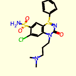 CN(C)CCCN1C(=O)N=S(c2ccccc2)c2cc(S(N)(=O)=O)c(Cl)cc21